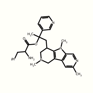 Cc1cc2c3c(n(C)c2cn1)C(CC(C)(OC(=O)C(N)CC(C)C)c1cccnc1)CN(C)C3